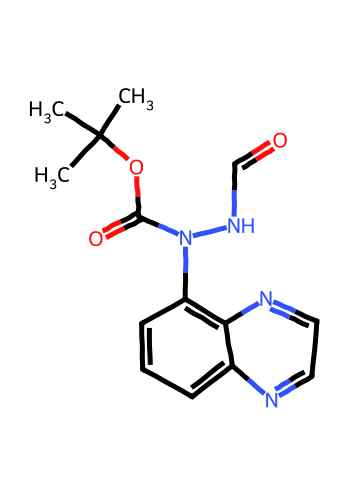 CC(C)(C)OC(=O)N(NC=O)c1cccc2nccnc12